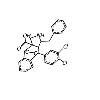 O=C(O)C12CNC(Cc3ccccc3)C1C1(c3ccc(Cl)c(Cl)c3)CCC2c2ccccc21